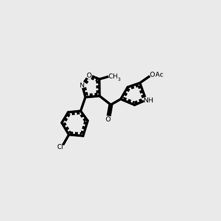 CC(=O)Oc1cc(C(=O)c2c(-c3ccc(Cl)cc3)noc2C)c[nH]1